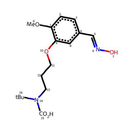 COc1ccc(C=NO)cc1OCCCN(C(=O)O)C(C)(C)C